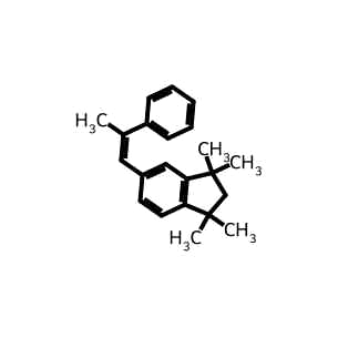 CC(=Cc1ccc2c(c1)C(C)(C)CC2(C)C)c1ccccc1